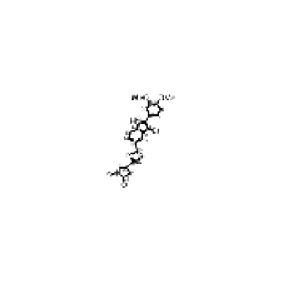 CCc1c(-c2ccc(OC)c(OC)c2)[nH]c2ccc(-c3noc(C4CC(=O)N(C)C4)n3)cc12